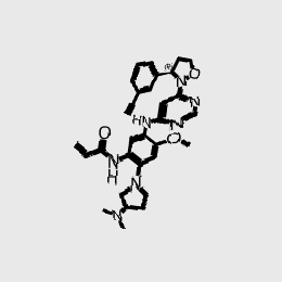 C#Cc1cccc([C@H]2CCON2c2cc(Nc3cc(NC(=O)C=C)c(N4CCC(N(C)C)C4)cc3OC)ncn2)c1